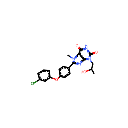 CC(O)Cn1c(=O)[nH]c(=O)c2c1nc(-c1ccc(Oc3cccc(Cl)c3)cc1)n2C